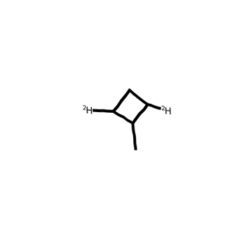 [2H]C1CC([2H])C1C